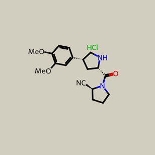 COc1ccc([C@@H]2CN[C@H](C(=O)N3CCC[C@H]3C#N)C2)cc1OC.Cl